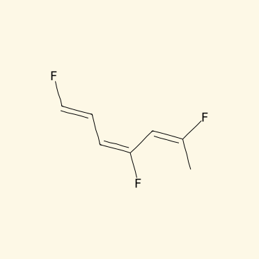 C\C(F)=C/C(F)=C\C=C\F